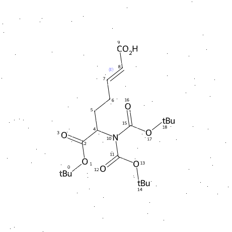 CC(C)(C)OC(=O)C(CC/C=C/C(=O)O)N(C(=O)OC(C)(C)C)C(=O)OC(C)(C)C